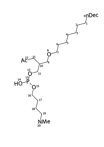 CCCCCCCCCCCCCCCCCOCC(COP(O)OCCCCNC)CC(C)=O